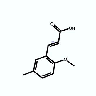 COc1ccc(C)cc1/C=C/C(=O)O